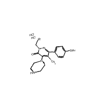 CSc1ccc(-c2nn(CC(C)C)c(=O)c(N3CCNCC3)c2C)cc1.Cl.Cl